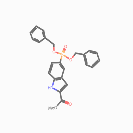 COC(=O)c1cc2cc(P(=O)(OCc3ccccc3)OCc3ccccc3)ccc2[nH]1